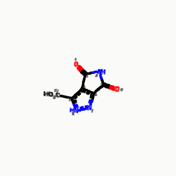 O=C1NC(=O)c2c1n[nH]c2C(=O)O